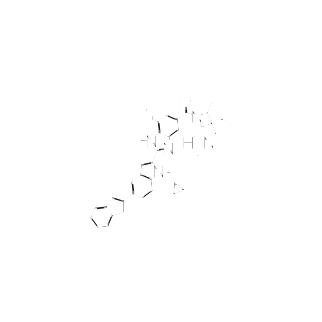 CC[C@@]1(CN)CN(C(=O)c2cc(OC)c3c(c2)nc(-c2cc4cc(C5=Cc6ccccc6C5)ccc4n2CC2CC2)n3C)C1C